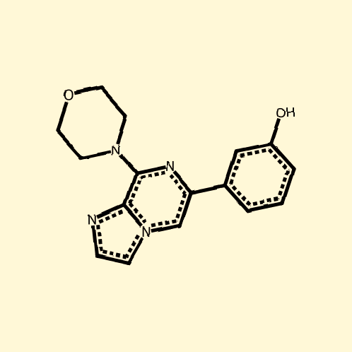 Oc1cccc(-c2cn3ccnc3c(N3CCOCC3)n2)c1